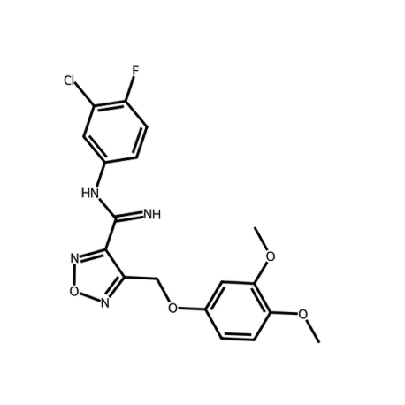 COc1ccc(OCc2nonc2C(=N)Nc2ccc(F)c(Cl)c2)cc1OC